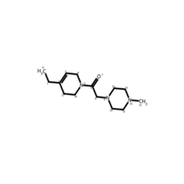 CCC1=CCN(C(=O)CN2CCN(C)CC2)CC1